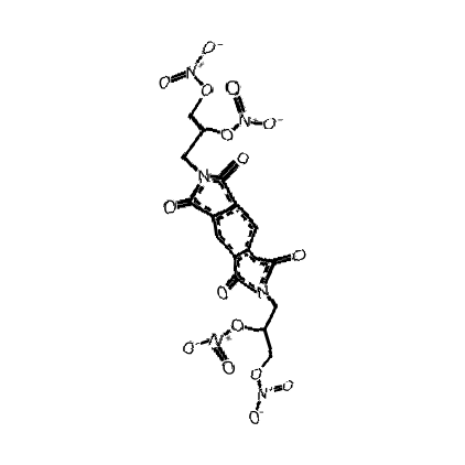 O=c1c2cc3c(=O)n(CC(CO[N+](=O)[O-])O[N+](=O)[O-])c(=O)c3cc2c(=O)n1CC(CO[N+](=O)[O-])O[N+](=O)[O-]